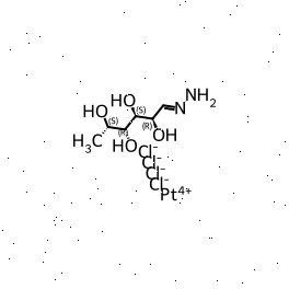 C[C@H](O)[C@@H](O)[C@@H](O)[C@H](O)C=NN.[Cl-].[Cl-].[Cl-].[Cl-].[Pt+4]